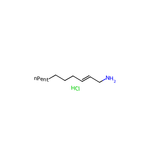 CCCCCCCCC=CCN.Cl